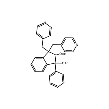 CC(=O)OC1C(Cc2ccncc2)(Cc2ccncc2)c2ccccc2C1(OC(C)=O)c1ccccc1